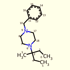 CCC(C)(CC)N1CCN(Cc2ccccc2)CC1